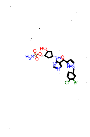 NS(=O)(=O)OC[C@H]1C[C@@H](Nc2ncncc2C(=O)c2ccn(Cc3ccc(Cl)c(Br)c3)n2)C[C@@H]1O